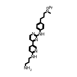 CCCN(C)CCCc1ccc(Nc2nccc(-c3ccc(NCCCN)nc3)n2)cc1